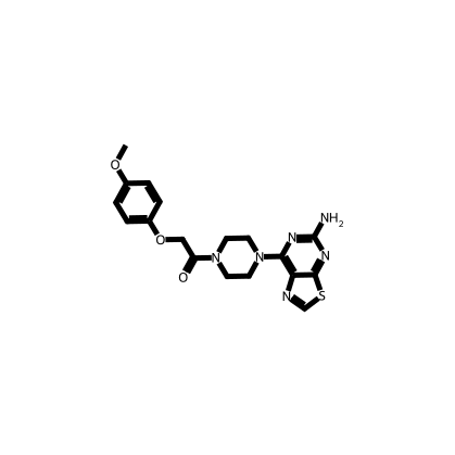 COc1ccc(OCC(=O)N2CCN(c3nc(N)nc4scnc34)CC2)cc1